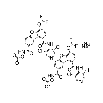 O=C([O-])ONC(=O)c1ccc2oc3c(OC(F)F)ccc(C(=O)Nc4c(Cl)cncc4Cl)c3c2c1.O=C([O-])ONC(=O)c1ccc2oc3c(OC(F)F)ccc(C(=O)Nc4c(Cl)cncc4Cl)c3c2c1.[Na+].[Na+]